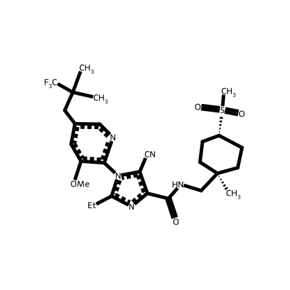 CCc1nc(C(=O)NC[C@]2(C)CC[C@@H](S(C)(=O)=O)CC2)c(C#N)n1-c1ncc(CC(C)(C)C(F)(F)F)cc1OC